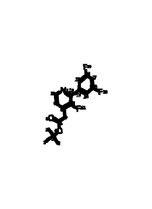 CC(C)(C)OC(=O)Cc1ccnc(-c2cc(F)cc(F)c2)c1F